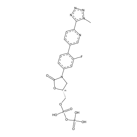 Cn1nnnc1-c1ccc(-c2ccc(N3C[C@H](COP(=O)(O)OP(=O)(O)O)OC3=O)cc2F)cn1